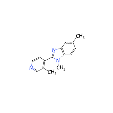 Cc1ccc2c(c1)nc(-c1ccncc1C)n2C